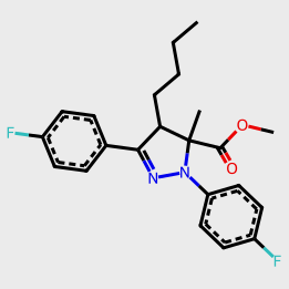 CCCCC1C(c2ccc(F)cc2)=NN(c2ccc(F)cc2)C1(C)C(=O)OC